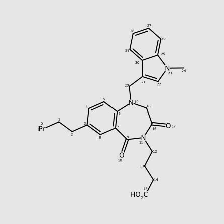 CC(C)CCc1ccc2c(c1)C(=O)N(CCCC(=O)O)C(=O)CN2Cc1cn(C)c2ccccc12